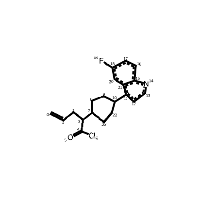 C=CCC(C(=O)Cl)C1CCC(c2ccnc3ccc(F)cc23)CC1